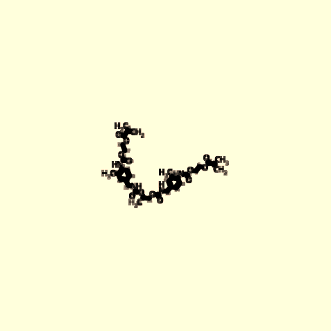 C=C(C)C(=O)OCCOC(=O)Nc1ccc(CNC(=O)OCC(C)OC(=O)NCc2ccc(NC(=O)OCCOC(=O)C(=C)C)c(C)c2)cc1C